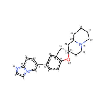 c1cn2cc(-c3ccc4c(c3)C[C@]3(CCN5CCCCC5C3)O4)ccc2n1